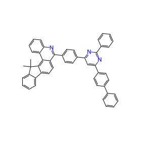 CC1(C)c2ccccc2-c2ccc3c(-c4ccc(-c5cc(-c6ccc(-c7ccccc7)cc6)nc(-c6ccccc6)n5)cc4)nc4ccccc4c3c21